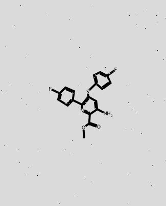 COC(=O)c1nc(-c2ccc(F)cc2)c(Sc2ccc(F)cc2)cc1N